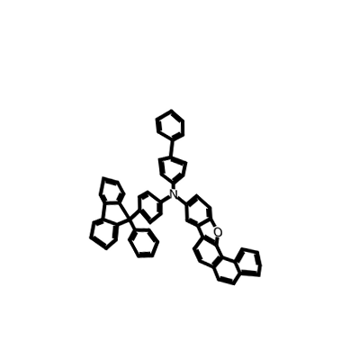 c1ccc(-c2ccc(N(c3ccc(C4(c5ccccc5)c5ccccc5-c5ccccc54)cc3)c3ccc4oc5c(ccc6ccc7ccccc7c65)c4c3)cc2)cc1